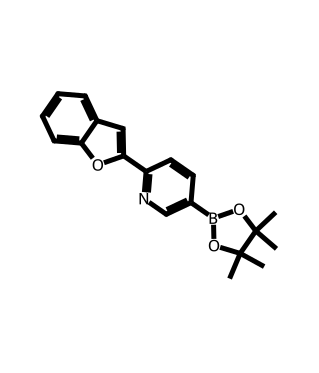 CC1(C)OB(c2ccc(-c3cc4ccccc4o3)nc2)OC1(C)C